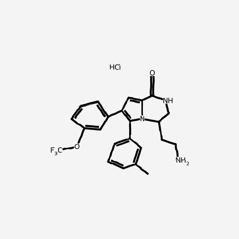 Cc1cccc(-c2c(-c3cccc(OC(F)(F)F)c3)cc3n2C(CCN)CNC3=O)c1.Cl